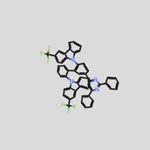 FC(F)(F)c1ccc2c(c1)c1ccccc1n2-c1ccccc1-c1cc(-c2cc(-c3ccccc3)nc(-c3ccccc3)n2)ccc1-n1c2ccccc2c2cc(C(F)(F)F)ccc21